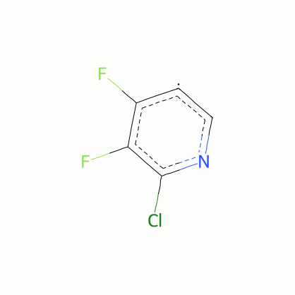 Fc1[c]cnc(Cl)c1F